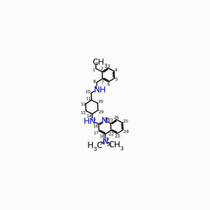 CCc1ccccc1CNCC1CCC(Nc2cc(N(C)C)c3ccccc3n2)CC1